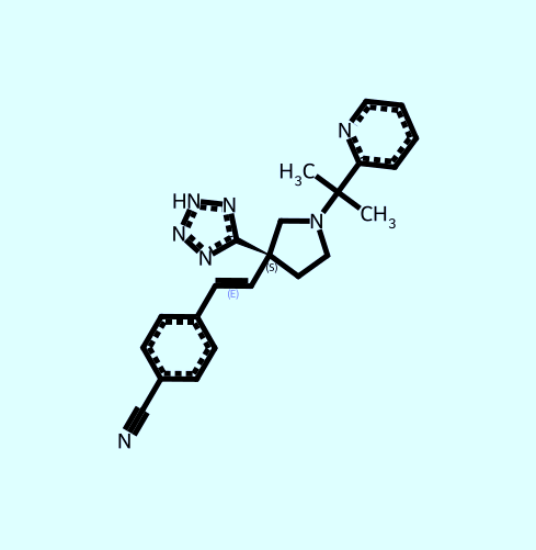 CC(C)(c1ccccn1)N1CC[C@@](/C=C/c2ccc(C#N)cc2)(c2nn[nH]n2)C1